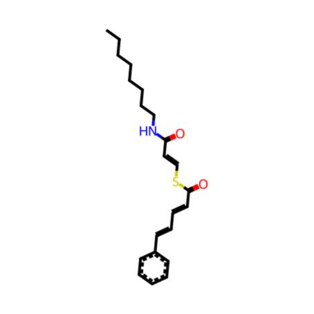 CCCCCCCCNC(=O)C=CSC(=O)C=CC=Cc1ccccc1